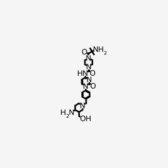 CC(C)(N)C(=O)N1CCN(C(=O)Nc2ccn(-c3ccc(CN4CCC(N)C(CO)C4)cc3)c(=O)n2)CC1